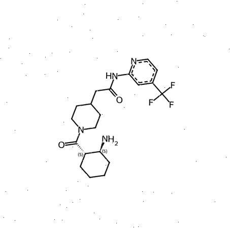 N[C@H]1CCCC[C@@H]1C(=O)N1CCC(CC(=O)Nc2cc(C(F)(F)F)ccn2)CC1